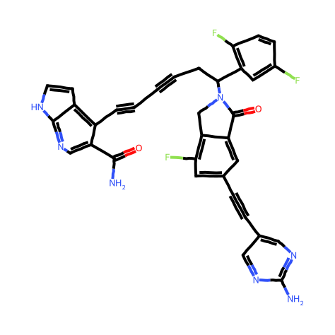 NC(=O)c1cnc2[nH]ccc2c1C#CC#CCC(c1cc(F)ccc1F)N1Cc2c(F)cc(C#Cc3cnc(N)nc3)cc2C1=O